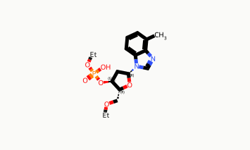 CCOC[C@H]1O[C@@H](n2cnc3c(C)cccc32)C[C@@H]1OP(=O)(O)OCC